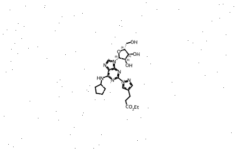 CCOC(=O)CCc1cnn(-c2nc(NC3CCCC3)c3ncn([C@@H]4O[C@H](CO)[C@@H](O)[C@H]4O)c3n2)c1